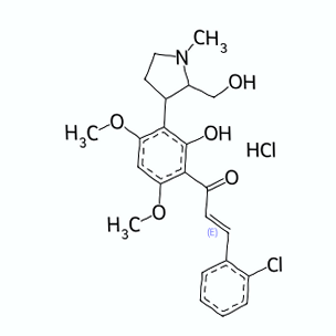 COc1cc(OC)c(C2CCN(C)C2CO)c(O)c1C(=O)/C=C/c1ccccc1Cl.Cl